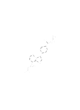 CC(C)CNc1cccn2c(-c3ccc(C(=O)NC4CC4)cc3)cnc12